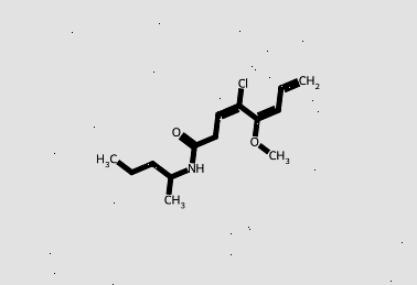 C=C/C=C(OC)\C(Cl)=C/CC(=O)NC(C)CCC